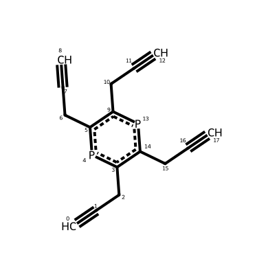 C#CCc1pc(CC#C)c(CC#C)pc1CC#C